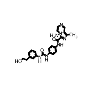 CC1=C2C=NC=C[N+]2(N)C(C(=O)Nc2ccc(NC(=O)Nc3cccc(CCO)c3)cc2)=N1